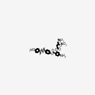 Nc1ccc(C(=O)Oc2ccc(P3(=S)SP(=S)(c4ccc(O)cc4)S3)cc2)c(OC(=O)CC(CO[N+](=O)[O-])O[N+](=O)[O-])c1